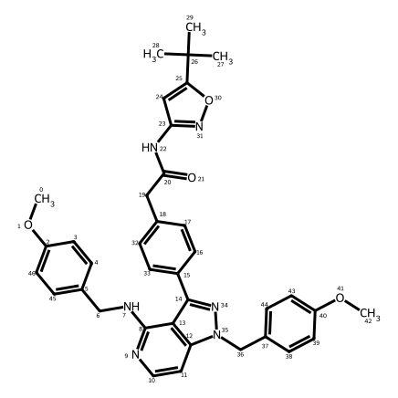 COc1ccc(CNc2nccc3c2c(-c2ccc(CC(=O)Nc4cc(C(C)(C)C)on4)cc2)nn3Cc2ccc(OC)cc2)cc1